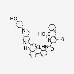 O=C(Nc1cccc(-c2cccc(NC(=O)c3cc(C4CC4)c(CN4CCCCC4C(=O)O)cn3)c2Cl)c1Cl)c1cc2c(cn1)CN(C1CCC(O)CC1)CC2